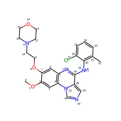 COc1cc2c(cc1OCCN1CCOCC1)nc(Nc1c(C)cccc1Cl)c1cncn12